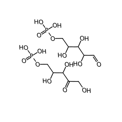 O=C(CO)C(O)C(O)COP(=O)(O)O.O=CC(O)C(O)C(O)COP(=O)(O)O